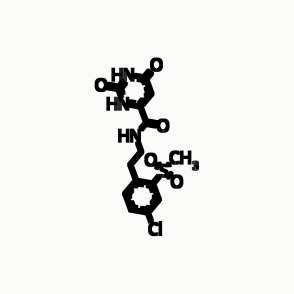 CS(=O)(=O)c1cc(Cl)ccc1CCNC(=O)c1cc(=O)[nH]c(=O)[nH]1